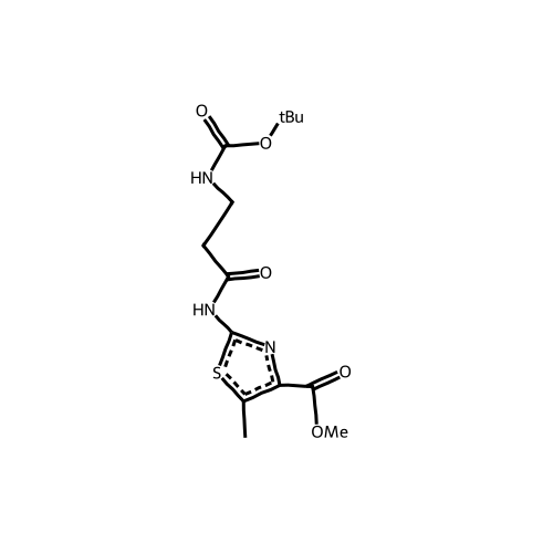 COC(=O)c1nc(NC(=O)CCNC(=O)OC(C)(C)C)sc1C